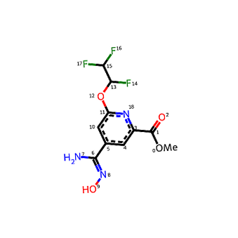 COC(=O)c1cc(C(N)=NO)cc(OC(F)C(F)F)n1